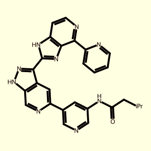 CC(C)CC(=O)Nc1cncc(-c2cc3c(-c4nc5c(-c6ccccn6)nccc5[nH]4)n[nH]c3cn2)c1